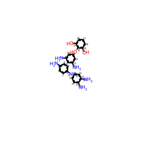 Nc1ccc(N)cc1.Nc1cccc(N)c1.Nc1ccccc1N.Oc1cccc(O)c1O